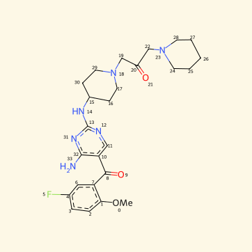 COc1ccc(F)cc1C(=O)c1cnc(NC2CCN(CC(=O)CN3CCCCC3)CC2)nc1N